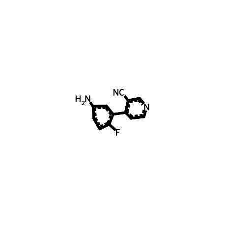 N#Cc1cnccc1-c1cc(N)ccc1F